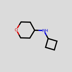 C1CC(NC2CCOCC2)C1